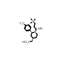 CCC[C@@H](CC[Si](C)(C)C)N1CC[C@@H](CC(=O)O)C[C@H]1c1ccc(C(F)(F)F)cc1